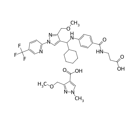 COCc1nn(-c2ccc(C(F)(F)F)cn2)cc1C(Nc1ccc(C(=O)NCCC(=O)O)cc1)C1CCCCC1.COCc1nn(C)cc1C(=O)O